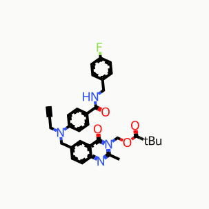 C#CCN(Cc1ccc2nc(C)n(COC(=O)C(C)(C)C)c(=O)c2c1)c1ccc(C(=O)NCc2ccc(F)cc2)cc1